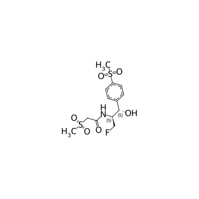 CS(=O)(=O)CC(=O)N[C@H](CF)[C@@H](O)c1ccc(S(C)(=O)=O)cc1